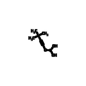 C[Si](C)(C)C#COB(O)O